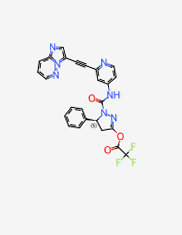 O=C(Nc1ccnc(C#Cc2cnc3cccnn23)c1)N1N=C(OC(=O)C(F)(F)F)C[C@H]1c1ccccc1